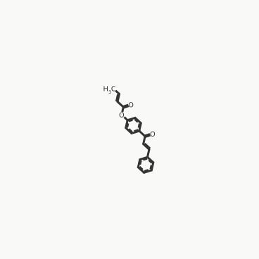 CC=CC(=O)Oc1ccc(C(=O)C=Cc2ccccc2)cc1